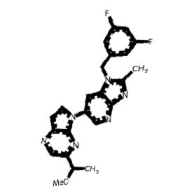 COC(C)c1cnc2ccn(-c3cnc4nc(C)n(Cc5cc(F)cc(F)c5)c4c3)c2n1